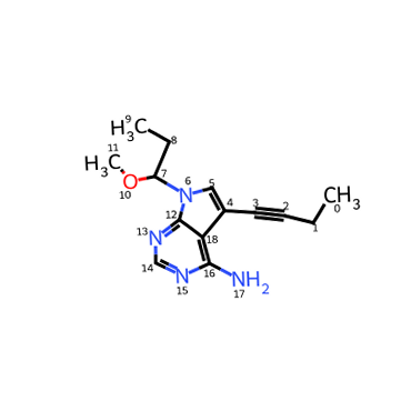 CCC#Cc1cn(C(CC)OC)c2ncnc(N)c12